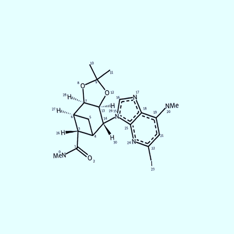 CNC(=O)[C@H]1C2C[C@@H]1[C@H]1OC(C)(C)O[C@H]1[C@@H]2n1cnc2c(NC)cc(I)nc21